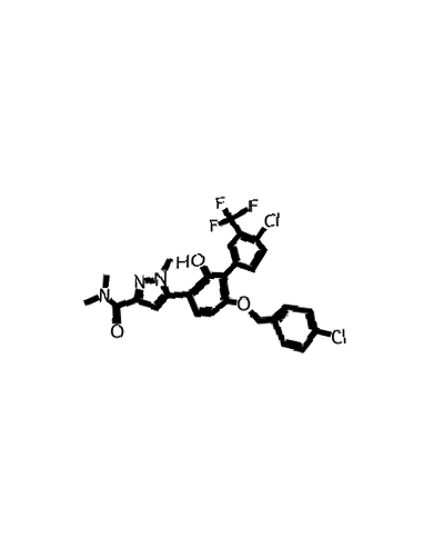 CN(C)C(=O)c1cc(-c2ccc(OCc3ccc(Cl)cc3)c(-c3ccc(Cl)c(C(F)(F)F)c3)c2O)n(C)n1